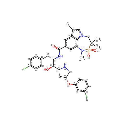 CCc1cn2c3c(cc(C(=O)N[C@@H](Cc4ccc(F)cc4)[C@H](O)[C@H]4C[C@@H](Oc5cccc(F)c5)CN4)cc13)N(C)S(=O)(=O)C(C)(C)C2